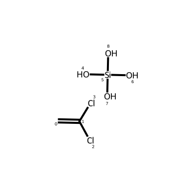 C=C(Cl)Cl.O[Si](O)(O)O